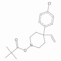 C=CC1(c2ccc(Cl)cc2)CCN(OC(=O)C(C)(C)C)CC1